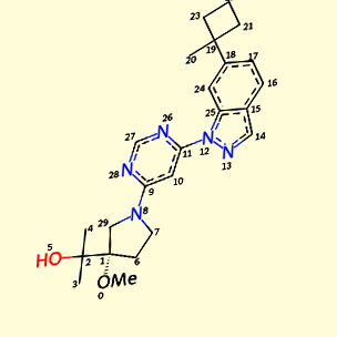 CO[C@@]1(C(C)(C)O)CCN(c2cc(-n3ncc4ccc(C5(C)CCC5)cc43)ncn2)C1